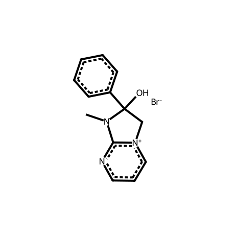 CN1c2nccc[n+]2CC1(O)c1ccccc1.[Br-]